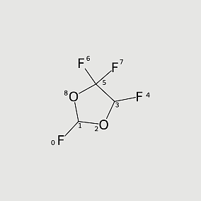 FC1OC(F)C(F)(F)O1